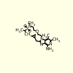 Cc1nc(N)c2nc(CC3CC3)n(CCOCCN(C)S(=O)(=O)C(C)C)c2c1C